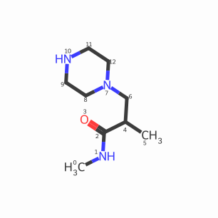 CNC(=O)C(C)CN1CCNCC1